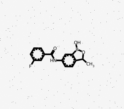 CC1OB(O)c2cc(NC(=O)c3cccc(F)c3)ccc21